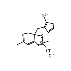 CC1=CCC(CC2=[C]([Ti+2])CC=C2)(S[Si](C)(C)C)C(C)=C1.[Cl-].[Cl-]